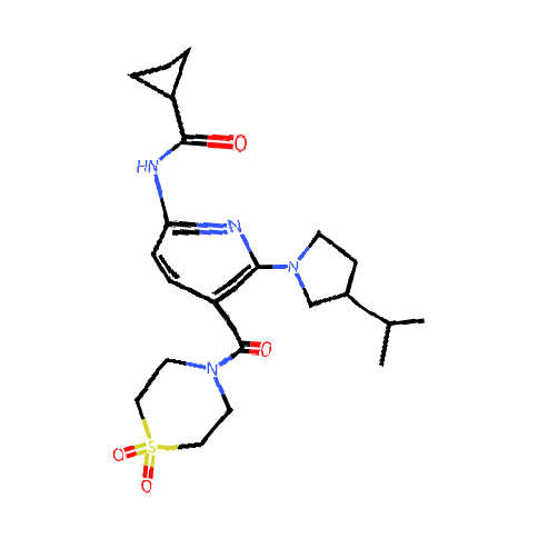 CC(C)C1CCN(c2nc(NC(=O)C3CC3)ccc2C(=O)N2CCS(=O)(=O)CC2)C1